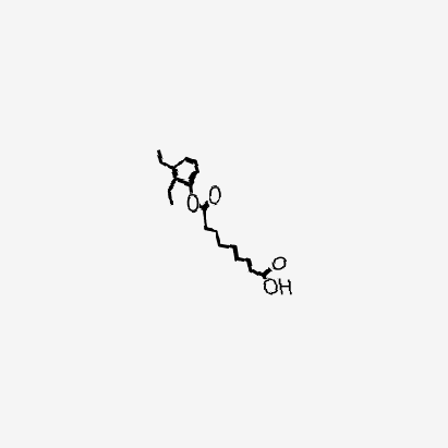 CCc1cccc(OC(=O)CCCCCCCC(=O)O)c1CC